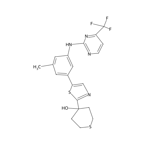 Cc1cc(Nc2nccc(C(F)(F)F)n2)cc(-c2cnc(C3(O)CCSCC3)s2)c1